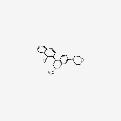 CN1Cc2cc(N3CCOCC3)ccc2C(c2ccc3ccccc3c2Cl)C1